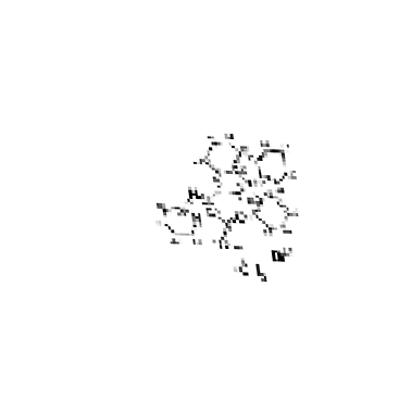 CCOC(=O)c1c(CC[P+](c2ccccc2)(c2ccccc2)c2ccccc2)nc2ccccn12.[Br-]